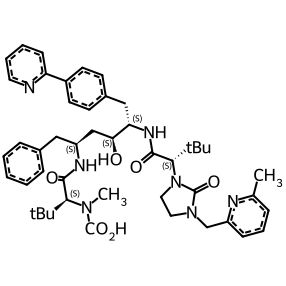 Cc1cccc(CN2CCN([C@H](C(=O)N[C@@H](Cc3ccc(-c4ccccn4)cc3)[C@@H](O)C[C@H](Cc3ccccc3)NC(=O)[C@@H](N(C)C(=O)O)C(C)(C)C)C(C)(C)C)C2=O)n1